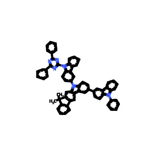 CC1(C)c2ccccc2-c2cc3c4cc(-c5ccc6c(c5)c5ccccc5n6-c5ccccc5)ccc4n(-c4ccc5c(c4)c4ccccc4n5-c4nc(-c5ccccc5)nc(-c5ccccc5)n4)c3cc21